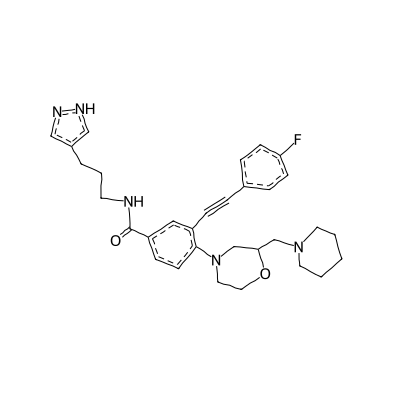 O=C(NCCCc1cn[nH]c1)c1ccc(N2CCOC(CN3CCCCC3)C2)c(C#Cc2ccc(F)cc2)c1